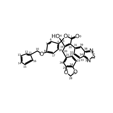 O=C1OC(O)(c2ccc(OCc3ccccc3)cc2)C(Cc2ccc3c(c2)OCO3)=C1c1ccc2nsnc2c1